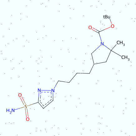 CC(C)(C)OC(=O)N1CC(CCCCn2ccc(S(N)(=O)=O)n2)CC1(C)C